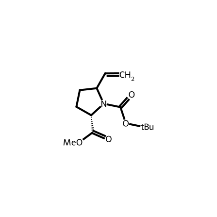 C=CC1CC[C@@H](C(=O)OC)N1C(=O)OC(C)(C)C